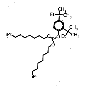 CCC(C)(C)c1ccc(OP(OCCCCCCCC(C)C)OCCCCCCCC(C)C)c(C(C)(C)CC)c1